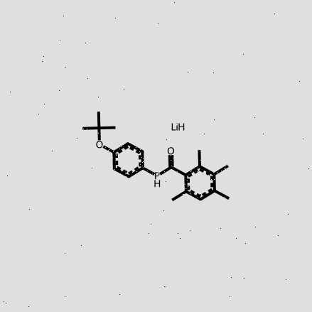 Cc1cc(C)c(C(=O)Pc2ccc(OC(C)(C)C)cc2)c(C)c1C.[LiH]